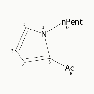 CCCCCn1cccc1C(C)=O